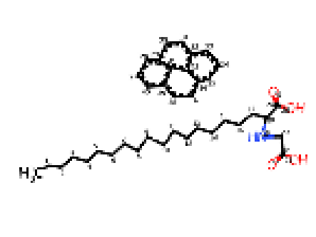 CCCCCCCCCCCCCCCCCCC(NCC(=O)O)C(=O)O.c1cc2ccc3cccc4ccc(c1)c2c34